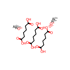 O=C(O)CCCCC(=O)O.O=C(O)CCCCC(=O)O.O=C(O)CCCCC(=O)O.[Al+3].[Al+3].[Al+3].[Al+3].[O-2].[O-2].[O-2]